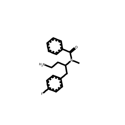 CN(C(=O)c1ccccc1)C(CCN)Cc1ccc(F)cc1